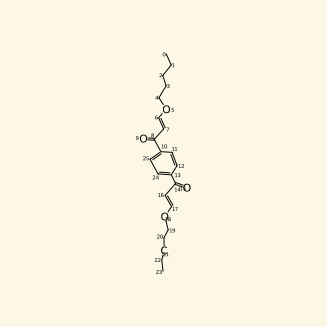 CCCCCOC=CC(=O)c1ccc(C(=O)/C=C/OCCCCC)cc1